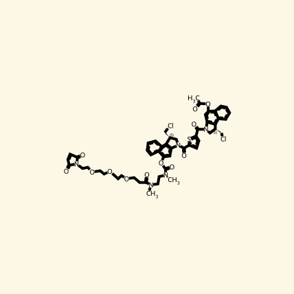 CC(=O)Oc1cc2c(c3ccccc13)[C@H](CCl)CN2C(=O)c1ccc(C(=O)N2C[C@@H](CCl)c3c2cc(OC(=O)N(C)CCN(C)C(=O)CCOCCOCCOCCN2C(=O)C=CC2=O)c2ccccc32)s1